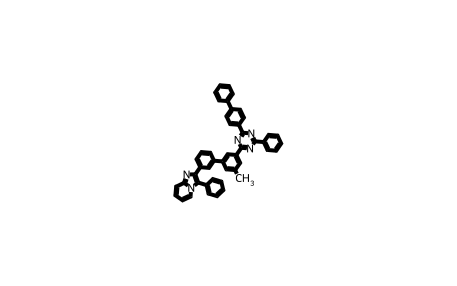 Cc1cc(-c2cccc(-c3nc4ccccn4c3-c3ccccc3)c2)cc(-c2nc(-c3ccccc3)nc(-c3ccc(-c4ccccc4)cc3)n2)c1